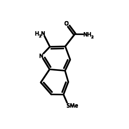 CSc1ccc2nc(N)c(C(N)=O)cc2c1